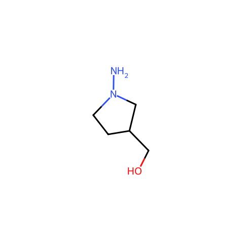 NN1CCC(CO)C1